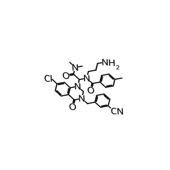 Cc1ccc(C(=O)N(CCCN)C(C(=O)N(C)C)N2CN(Cc3cccc(C#N)c3)C(=O)c3ccc(Cl)cc32)cc1